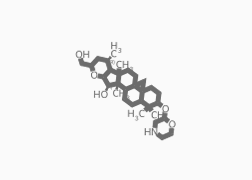 C[C@@H]1CC(CO)OC2C1C1(C)CCC34CC35CCC(OC3CNCCO3)C(C)(C)C5CCC4[C@]1(C)[C@H]2O